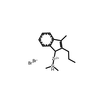 CCCC1=C(C)c2ccccc2[CH]1[Zr+2][SiH](C)C.[Br-].[Br-]